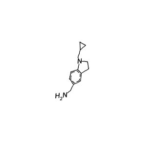 NCc1ccc2c(c1)CCN2CC1CC1